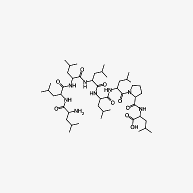 CC(C)CC(N)C(=O)NC(CC(C)C)C(=O)NC(CC(C)C)C(=O)NC(CC(C)C)C(=O)NC(CC(C)C)C(=O)NC(CC(C)C)C(=O)N1CCCC1C(=O)NC(CC(C)C)C(=O)O